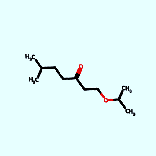 CC(C)CCC(=O)CCOC(C)C